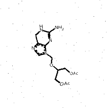 CC(=O)OCC(COC(C)=O)OCn1cnc2c1N=C(N)NC2